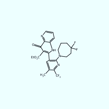 CCOC(=O)c1c(-c2cc(C)c(C(F)(F)F)nc2N2CCCC(F)(F)CC2)[nH]c2cccnc2c1=O